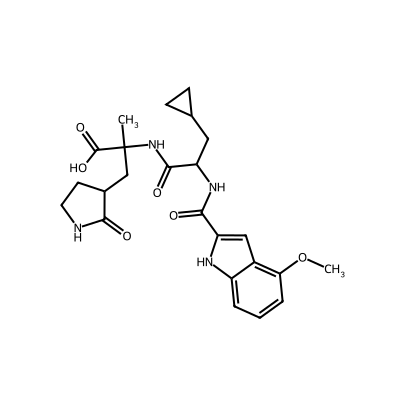 COc1cccc2[nH]c(C(=O)NC(CC3CC3)C(=O)NC(C)(CC3CCNC3=O)C(=O)O)cc12